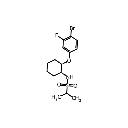 CC(C)S(=O)(=O)N[C@H]1CCCC[C@H]1Oc1ccc(Br)c(F)c1